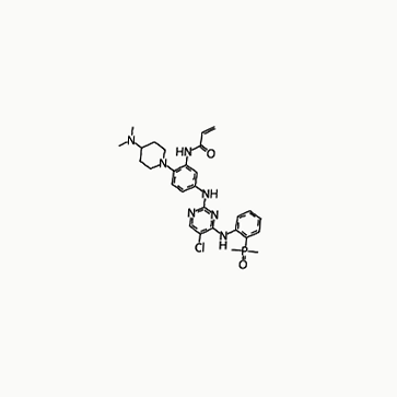 C=CC(=O)Nc1cc(Nc2ncc(Cl)c(Nc3ccccc3P(C)(C)=O)n2)ccc1N1CCC(N(C)C)CC1